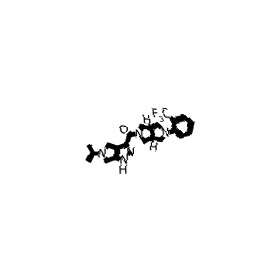 C=C(C)N1Cc2[nH]nc(C(=O)N3C[C@@H]4CN(c5ccccc5C(F)(F)F)C[C@@H]4C3)c2C1